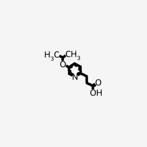 CC(C)Oc1ccc(CCC(=O)O)nc1